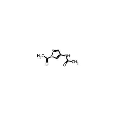 CC(=O)Nc1cnn(C(C)=O)c1